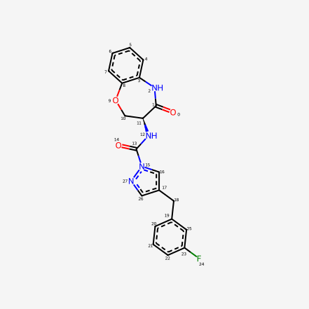 O=C1Nc2ccccc2OC[C@@H]1NC(=O)n1cc(Cc2cccc(F)c2)cn1